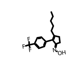 CCCCCC1=C(c2ccc(C(F)(F)F)cc2)C(=NO)CC1